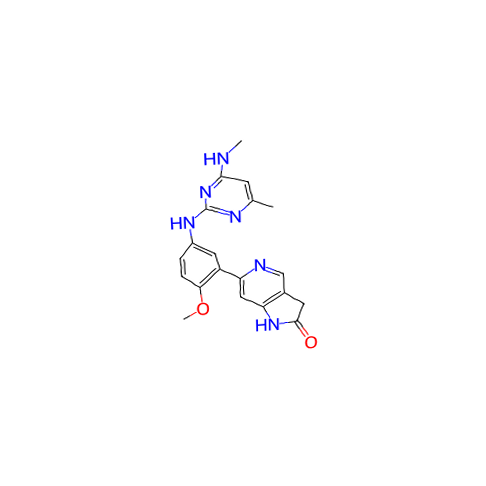 CNc1cc(C)nc(Nc2ccc(OC)c(-c3cc4c(cn3)CC(=O)N4)c2)n1